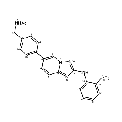 CC(=O)NCc1ccc(-c2ccc3nc(Nc4ccccc4N)nn3c2)cc1